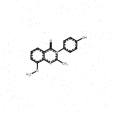 COc1cccc2c(=O)n(-c3ccc(O)cc3)c(C)nc12